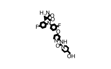 NC(=O)C1(C(=O)N(c2ccc(F)cc2)c2ccc(Oc3ccnc(NC(=O)N4CCC(CO)CC4)c3)c(F)c2)CC1